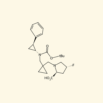 CC(C)(C)OC(=O)N(CC1(CN2C[C@H](F)C[C@H]2C(=O)O)CC1)[C@@H]1C[C@H]1c1ccccc1